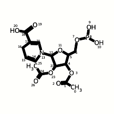 CC(=O)OC1C(COP(O)O)OC(N2C=CCC(C(=O)O)=C2)C1OC(C)=O